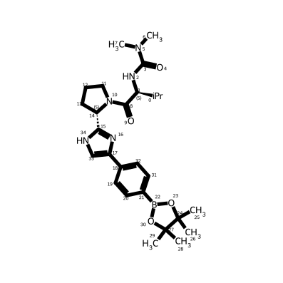 CC(C)[C@H](NC(=O)N(C)C)C(=O)N1CCC[C@H]1c1nc(-c2ccc(B3OC(C)(C)C(C)(C)O3)cc2)c[nH]1